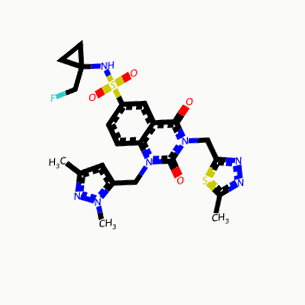 Cc1cc(Cn2c(=O)n(Cc3nnc(C)s3)c(=O)c3cc(S(=O)(=O)NC4(CF)CC4)ccc32)n(C)n1